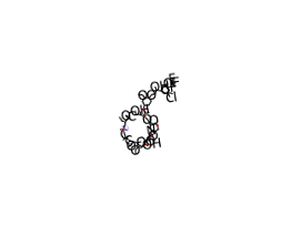 CCC1/C=C(\C)CC(C)CC(OC)C2OC(O)(C(=O)C(=O)N3CCCCC3C(=O)OC(C(C)=CC3CCC(OCC(O)c4cc(Cl)cc(OC(F)(F)F)c4)C(OC)C3)C(C)C(O)CC1=O)C(C)CC2OC